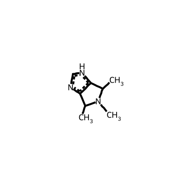 CC1c2nc[nH]c2C(C)N1C